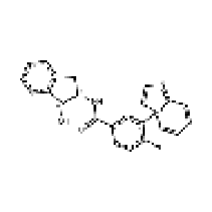 O=C(N[C@H]1Cc2ccccc2[C@H]1O)c1ccc(F)c([N+]23C=CC=CC2=NC=C3)c1